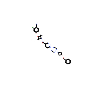 CC1(C)C(NC(=O)c2ccc(N3CCN(C4CC(OCc5ccccc5)C4)CC3)nc2)C(C)(C)C1Oc1ccc(C#N)c(Cl)c1